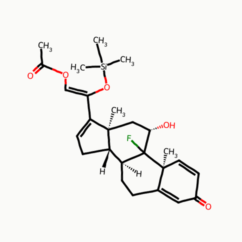 CC(=O)OC=C(O[Si](C)(C)C)C1=CC[C@H]2[C@@H]3CCC4=CC(=O)C=C[C@]4(C)C3(F)[C@@H](O)C[C@]12C